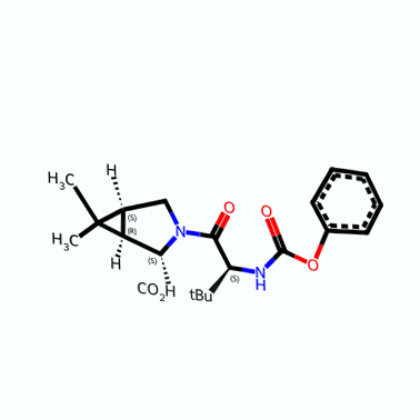 CC(C)(C)[C@H](NC(=O)Oc1ccccc1)C(=O)N1C[C@H]2[C@@H]([C@H]1C(=O)O)C2(C)C